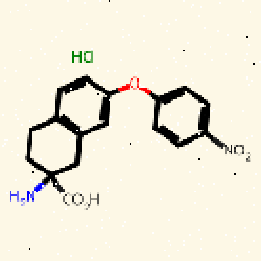 Cl.NC1(C(=O)O)CCc2ccc(Oc3ccc([N+](=O)[O-])cc3)cc2C1